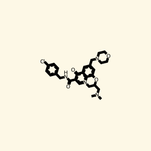 CN(C)CC1Cn2cc(C(=O)NCc3ccc(Cl)cc3)c(=O)c3cc(CN4CCOCC4)cc(c32)O1